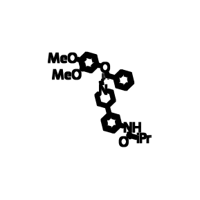 COc1ccc(O[C@@H](CN2CCC(c3cccc(NC(=O)C(C)C)c3)CC2)c2ccccc2)cc1OC